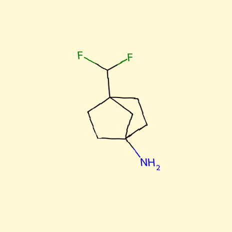 NC12CCC(C(F)F)(CC1)C2